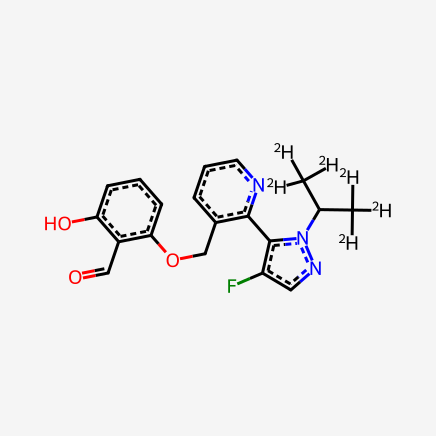 [2H]C([2H])([2H])C(n1ncc(F)c1-c1ncccc1COc1cccc(O)c1C=O)C([2H])([2H])[2H]